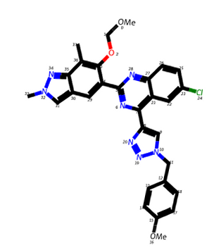 COCOc1c(-c2nc(-c3cn(Cc4ccc(OC)cc4)nn3)c3cc(Cl)ccc3n2)cc2cn(C)nc2c1C